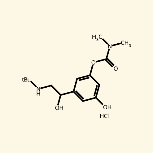 CN(C)C(=O)Oc1cc(O)cc(C(O)CNC(C)(C)C)c1.Cl